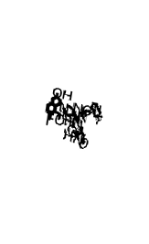 CCc1c(F)ccc2cc(O)cc(N3CCc4c(nc(OC[C@@]56CCCN5C[C@H](F)C6)nc4NCC4CC(=O)NC4=O)C3)c12